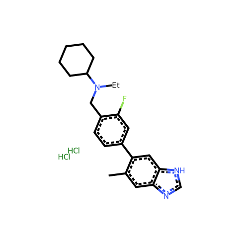 CCN(Cc1ccc(-c2cc3[nH]cnc3cc2C)cc1F)C1CCCCC1.Cl.Cl